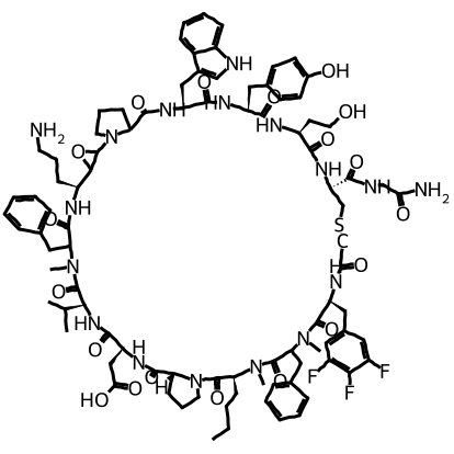 CCCC[C@H]1C(=O)N2CCC[C@@H]2C(=O)N[C@@H](CC(=O)O)C(=O)N[C@@H](C(C)C)C(=O)N(C)C(Cc2ccccc2)C(=O)N[C@@H](CCCN)C2OC2N2CCCC2C(=O)N[C@@H](Cc2c[nH]c3ccccc23)C(=O)N[C@@H](Cc2ccc(O)cc2)C(=O)N[C@@H](CCO)C(=O)N[C@H](C(=O)NCC(N)=O)CSCC(=O)N[C@@H](Cc2cc(F)c(F)c(F)c2)C(=O)N(C)C(Cc2ccccc2)C(=O)N1C